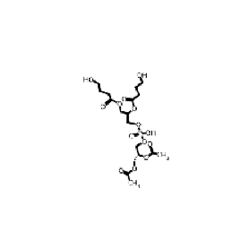 CC(=O)OC[C@H](COP(=O)(O)OCC(COC(=O)CCCO)OC(=O)CCCO)OC(C)=O